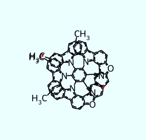 Cc1ccc2c(c1)c1cc(C)ccc1n2-c1c(-n2c3ccc(C)cc3c3cc(C)ccc32)c(-n2c3ccccc3c3ccc4oc5ccccc5c4c32)c(C#N)c(C#N)c1-n1c2ccccc2c2ccc3oc4ccccc4c3c21